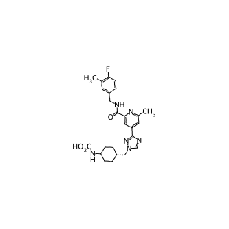 Cc1cc(-c2ncn(C[C@H]3CC[C@H](NC(=O)O)CC3)n2)cc(C(=O)NCc2ccc(F)c(C)c2)n1